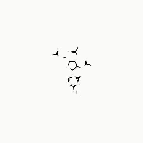 CC(=O)OC[C@H]1O[C@@H](n2cnc(N)nc2=O)C(OC(C)=O)[C@H]1OC(C)=O